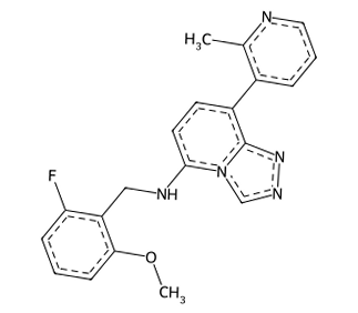 COc1cccc(F)c1CNc1ccc(-c2cccnc2C)c2nncn12